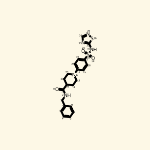 O=C(NCc1ccccc1)C1CCN(c2ccc(S(=O)(=O)Nc3ncns3)cc2)CC1